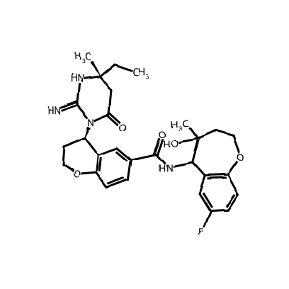 CC[C@]1(C)CC(=O)N([C@@H]2CCOc3ccc(C(=O)NC4c5cc(F)ccc5OCCC4(C)O)cc32)C(=N)N1